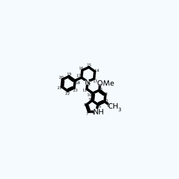 COc1cc(C)c2[nH]ccc2c1CN1CCCCC1c1cc[c]cc1